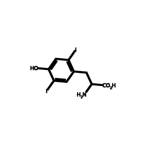 NC(Cc1cc(I)c(O)cc1I)C(=O)O